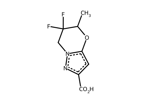 CC1Oc2cc(C(=O)O)nn2CC1(F)F